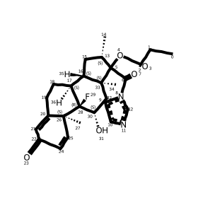 CCC(=O)OC1(C(=O)n2ccnc2)[C@@H](C)C[C@H]2[C@@H]3CCC4=CC(=O)C=C[C@]4(C)[C@@]3(F)[C@@H](O)C[C@@]21C